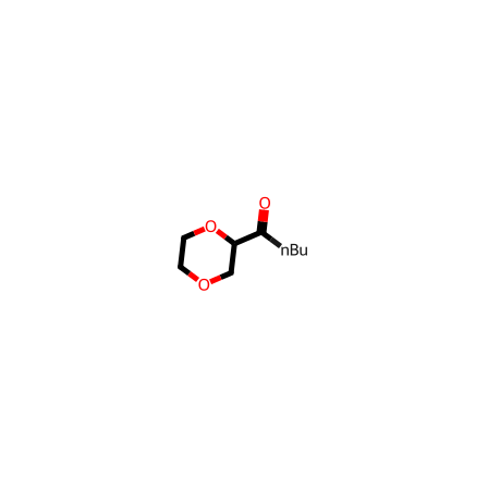 CCCCC(=O)C1COCCO1